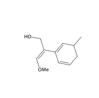 CO/C=C(/CO)C1=CC(C)CC=C1